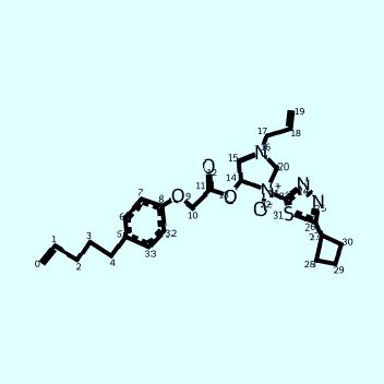 C=CCCCc1ccc(OCC(=O)OC2CN(CC=C)C[N+]2([O-])c2nnc(C3CCC3)s2)cc1